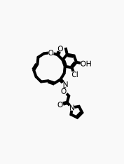 Cc1cc(O)c(Cl)c2c1C(=O)OCC/C=C/CC/C=C/C(=N\OCC(=O)N1CC=CC1)C2